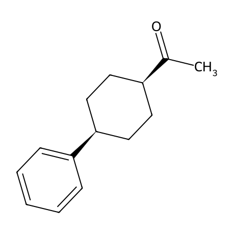 CC(=O)[C@H]1CC[C@@H](c2ccccc2)CC1